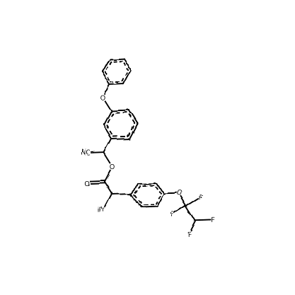 CC(C)C(C(=O)OC(C#N)c1cccc(Oc2ccccc2)c1)c1ccc(OC(F)(F)C(F)F)cc1